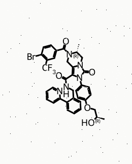 C[C@@H]1Cn2c(c(C(=O)NCc3ccccc3-c3ccccn3)n(-c3ccc(OC[C@@H](C)O)cc3)c2=O)CN1C(=O)c1ccc(Br)c(C(F)(F)F)c1